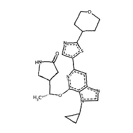 C[C@@H](Oc1nc(-c2cnc(C3CCOCC3)s2)cc2ncn(C3CC3)c12)C1CNC(=O)C1